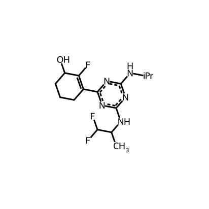 CC(C)Nc1nc(NC(C)C(F)F)nc(C2=C(F)C(O)CCC2)n1